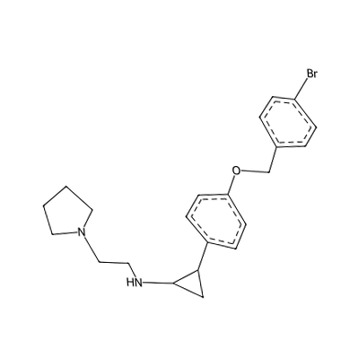 Brc1ccc(COc2ccc(C3CC3NCCN3CCCC3)cc2)cc1